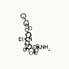 CCc1c2c(nc3ccc(OC(=O)N4CCC(N5CCCCC5)CC4)cc13)-c1cc3c(c(=O)n1C2)COC(=O)[C@@]3(CC)OC(=O)CN